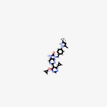 Cc1cc(C(F)(F)F)nn1-c1ccc(Cn2c(=O)[nH]c3cnc(-c4c(OC5CC5)ncnc4C4CC4)nc32)cc1